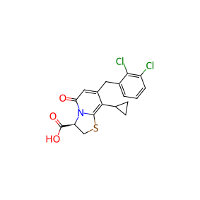 O=C(O)[C@@H]1CSc2c(C3CC3)c(Cc3cccc(Cl)c3Cl)cc(=O)n21